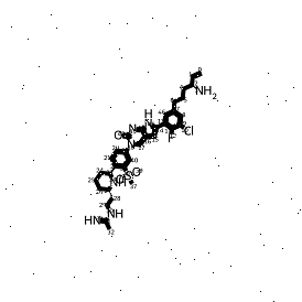 C=C[C@H](N)CCCc1cc(Cl)c(F)c(-c2cc3cn(-c4ccc([C@@H]5CCC[C@@H](CCNC(C)=N)N5)c(S(C)(=O)=O)c4)c(=O)nc3[nH]2)c1